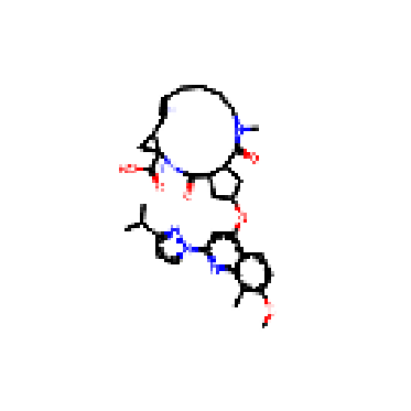 COc1ccc2c(OC3CC4C(=O)NC5(C(=O)O)CC5/C=C/CCCCN(C)C(=O)C4C3)cc(-n3ccc(C(C)C)n3)nc2c1C